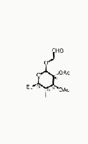 CC[C@H]1OC(OCC=O)[C@H](OC(C)=O)[C@@H](OC(C)=O)[C@@H]1C